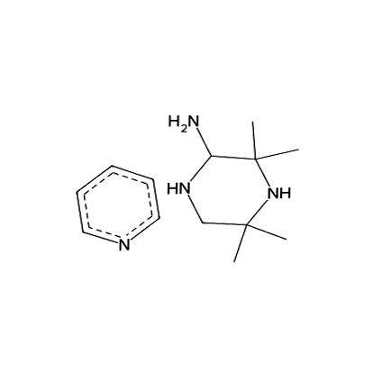 CC1(C)CNC(N)C(C)(C)N1.c1ccncc1